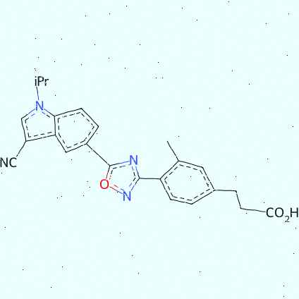 Cc1cc(CCC(=O)O)ccc1-c1noc(-c2ccc3c(c2)c(C#N)cn3C(C)C)n1